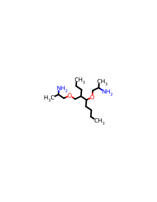 CCCCC(OCC(C)N)C(CCC)COCC(C)N